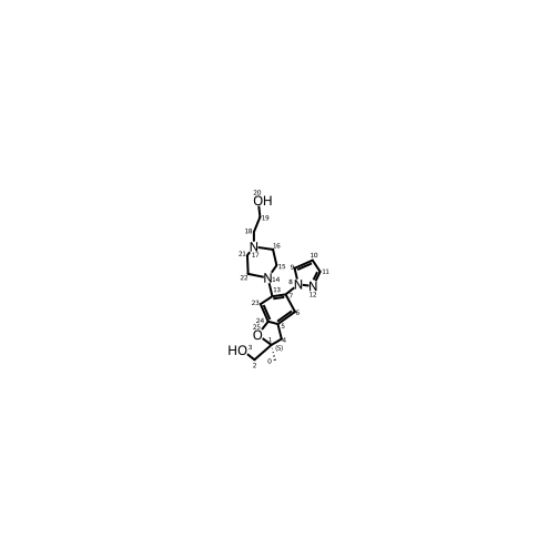 C[C@@]1(CO)Cc2cc(-n3cccn3)c(N3CCN(CCO)CC3)cc2O1